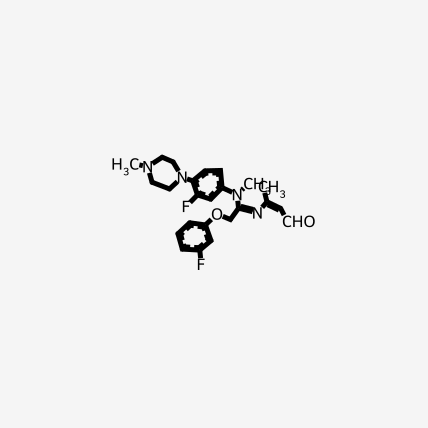 CC(=C/C=O)/N=C(/COc1cccc(F)c1)N(C)c1ccc(N2CCN(C)CC2)c(F)c1